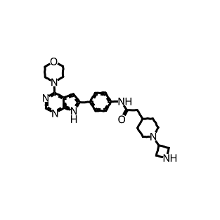 O=C(CC1CCN(C2CNC2)CC1)Nc1ccc(-c2cc3c(N4CCOCC4)ncnc3[nH]2)cc1